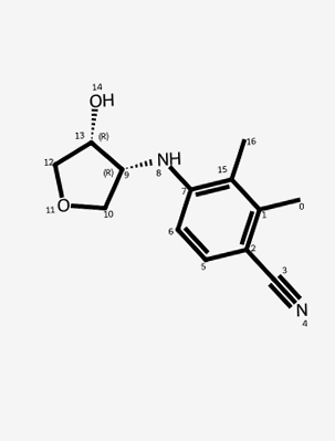 Cc1c(C#N)ccc(N[C@@H]2COC[C@@H]2O)c1C